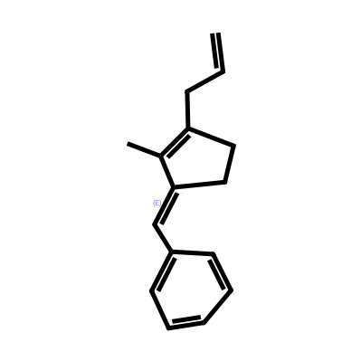 C=CCC1=C(C)/C(=C/c2ccccc2)CC1